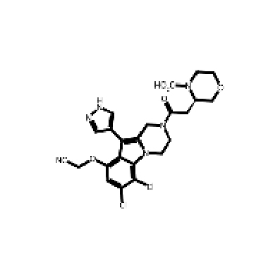 N#CCOc1cc(Cl)c(Cl)c2c1c(-c1cn[nH]c1)c1n2CCN(C(=O)C[C@@H]2COCCN2C(=O)O)C1